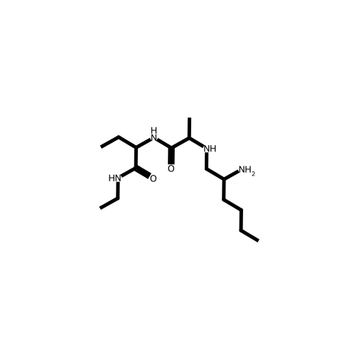 CCCCC(N)CNC(C)C(=O)NC(CC)C(=O)NCC